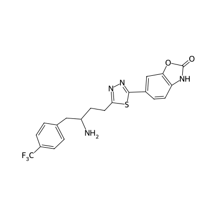 NC(CCc1nnc(-c2ccc3[nH]c(=O)oc3c2)s1)Cc1ccc(C(F)(F)F)cc1